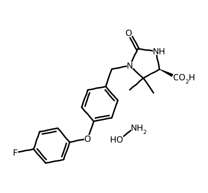 CC1(C)[C@H](C(=O)O)NC(=O)N1Cc1ccc(Oc2ccc(F)cc2)cc1.NO